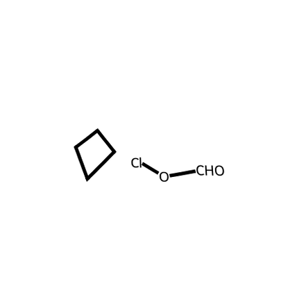 C1CCC1.O=COCl